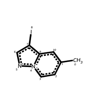 Cc1ccn2ncc(I)c2c1